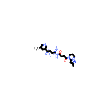 Cc1cc2n(n1)CCCN2C(=O)CCC(=O)N/C(N)=C/C=C(\N)c1cncc(C(F)(F)F)c1